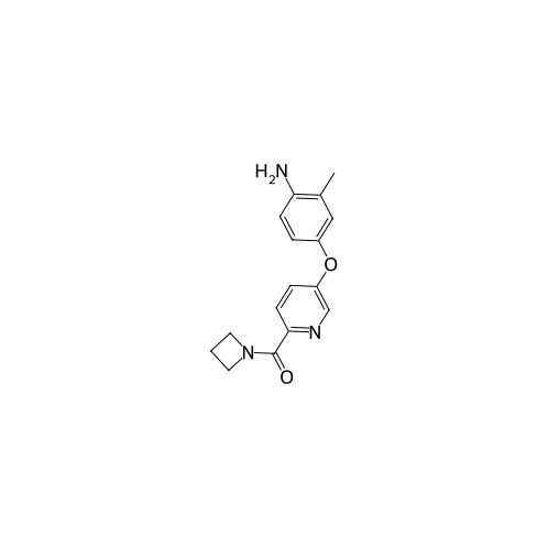 Cc1cc(Oc2ccc(C(=O)N3CCC3)nc2)ccc1N